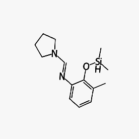 Cc1cccc(N=CN2CCCC2)c1O[SiH](C)C